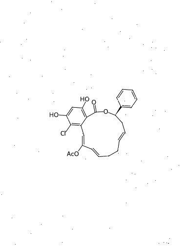 CC(=O)OC1=C\c2c(Cl)c(O)cc(O)c2C(=O)O[C@@H](c2ccccc2)C/C=C/CC\C=C\1